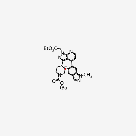 CCOC(=O)Cn1nc(C2CCN(C(=O)OC(C)(C)C)CC2)c2c(-c3cc4c(cnn4C)cc3F)ccnc21